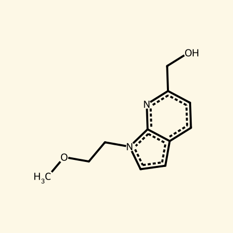 COCCn1ccc2ccc(CO)nc21